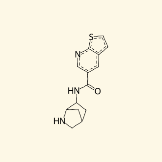 O=C(NC1CC2CNC1C2)c1cnc2sccc2c1